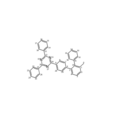 Cc1cccc(-c2ccc(-c3nc(-c4ccccc4)nc(-c4ccccc4)n3)cc2)c1-c1ccccc1